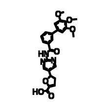 COc1cc(-c2cccc(C(=O)Nc3ncc(C4CC=C(C(=O)O)O4)cn3)c2)cc(OC)c1OC